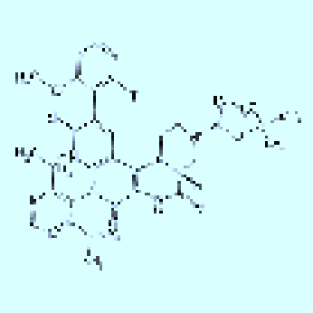 COc1cccc(F)c1-c1cc2c3c(c(=O)n(-c4c(C(C)C)ncnc4C(C)C)c2nc1Cl)NC(=O)[C@H]1CN(C(=O)OC(C)(C)C)CCN31